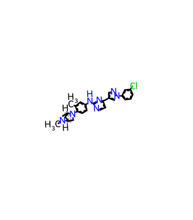 Cc1cc(Nc2nccc(-c3cnn(-c4cccc(Cl)c4)c3)n2)ccc1N1C[C@@H]2C[C@H]1CN2C